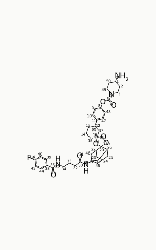 NC1CCN(C(=O)Oc2ccc([C@@H]3CCC[C@]4(C3)OOC3(O4)C4CC5CC3CC(NC(=O)CCCNC(=O)c3ccc(F)cc3)(C5)C4)cc2)CC1